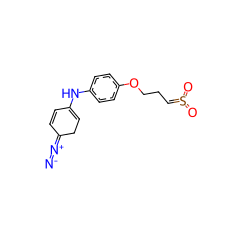 [N-]=[N+]=C1C=CC(Nc2ccc(OCCC=S(=O)=O)cc2)=CC1